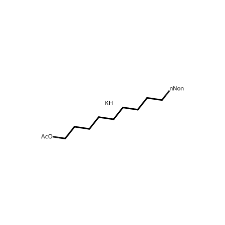 CCCCCCCCCCCCCCCCCCOC(C)=O.[KH]